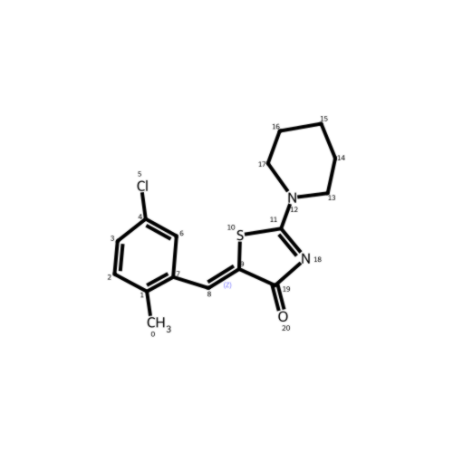 Cc1ccc(Cl)cc1/C=C1\SC(N2CCCCC2)=NC1=O